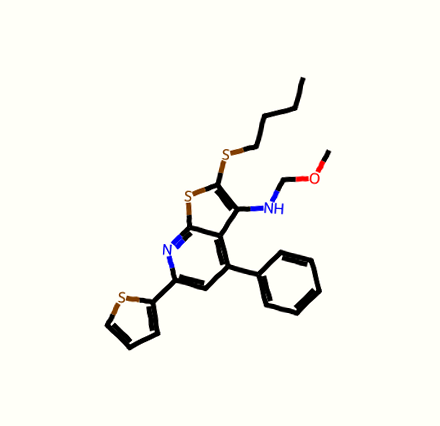 CCCCSc1sc2nc(-c3cccs3)cc(-c3ccccc3)c2c1NCOC